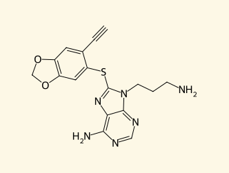 C#Cc1cc2c(cc1Sc1nc3c(N)ncnc3n1CCCN)OCO2